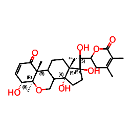 CC1=C(C)C(=O)OC([C@](C)(O)[C@]2(O)CC[C@@]3(O)C4CO[C@@]5(C)[C@H](O)C=CC(=O)[C@]5(C)C4CC[C@]23C)C1